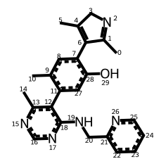 CC1=NCC(C)=C1c1cc(C)c(-c2c(C)ncnc2NCc2ccccn2)cc1O